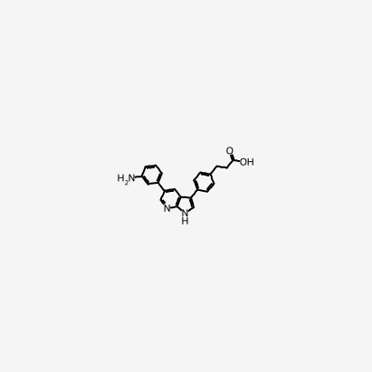 Nc1cccc(-c2cnc3[nH]cc(-c4ccc(CCC(=O)O)cc4)c3c2)c1